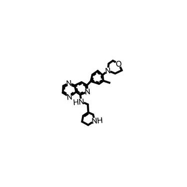 Cc1cc(-c2cc3nccnc3c(NCC3=CCCNC3)n2)ccc1N1CCOCC1